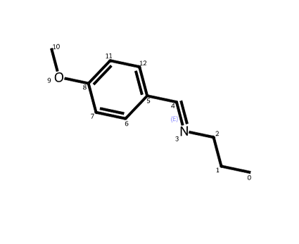 CCC/N=C/c1ccc(OC)cc1